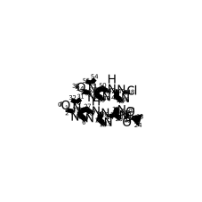 COCc1nc2cnc(Nc3ccnc(-c4cnn(S(=O)(=O)C5CC5)c4)n3)cc2n1C(C)C.COCc1nc2cnc(Nc3ccnc(Cl)n3)cc2n1C(C)C